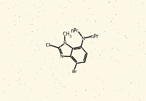 CCCN(CCC)c1ccc(Br)c2nc(Cl)n(C)c12